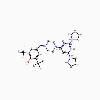 CC(C)(C)c1cc(CN2CCN(c3cc(N4CCCC4)nc(N4CCCC4)n3)CC2)cc(C(C)(C)C)c1O